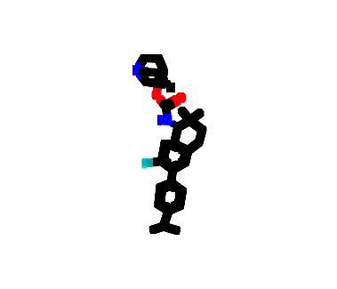 CC(C)c1ccc(-c2cc3c(cc2F)[C@H](NC(=O)O[C@H]2CN4CCC2CC4)C(C)(C)CC3)cc1